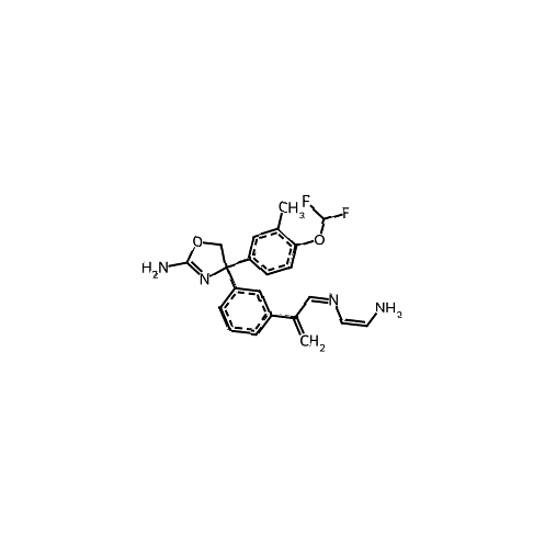 C=C(/C=N\C=C/N)c1cccc(C2(c3ccc(OC(F)F)c(C)c3)COC(N)=N2)c1